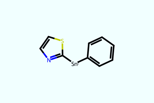 c1cc[c]([Sn][c]2nccs2)cc1